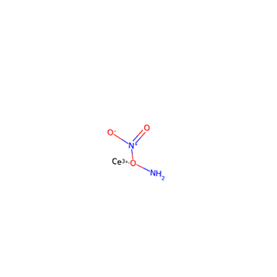 NO[N+](=O)[O-].[Ce+3]